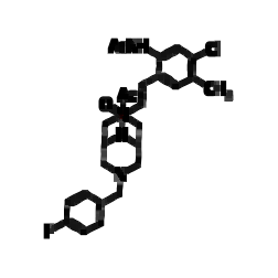 CC(=O)Nc1cc(Cl)c(C)cc1C=CC(=O)N1C2CN(Cc3ccc(F)cc3)CC1CN(C(C)=O)C2